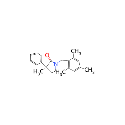 Cc1cc(C)c(CN2CC[C@@](C)(c3ccccc3)C2=O)c(C)c1